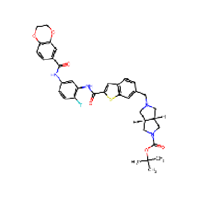 CC(C)(C)OC(=O)N1C[C@H]2CN(Cc3ccc4cc(C(=O)Nc5cc(NC(=O)c6ccc7c(c6)OCCO7)ccc5F)sc4c3)C[C@H]2C1